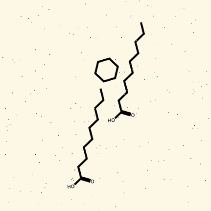 C1CCCCC1.CCCCCCCCCC(=O)O.CCCCCCCCCC(=O)O